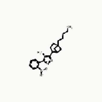 CCCCCC12CCC(c3nnc(-c4ccccc4[N+](=O)[O-])n3C)=C(C1)C2